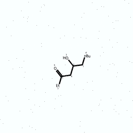 CCCCCC(O)CC(=O)CC